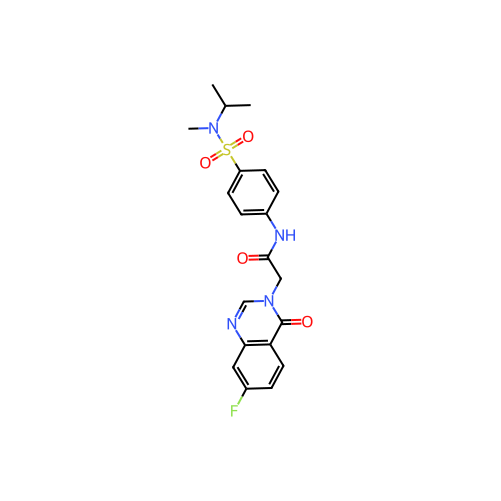 CC(C)N(C)S(=O)(=O)c1ccc(NC(=O)Cn2cnc3cc(F)ccc3c2=O)cc1